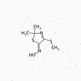 CSC1=NC(C)(C)SC1=NO